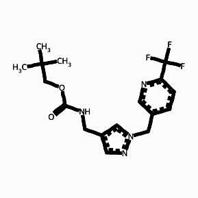 CC(C)(C)COC(=O)NCc1cnn(Cc2ccc(C(F)(F)F)nc2)c1